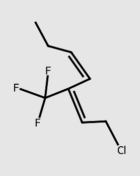 CC/C=C\C(=C/CCl)C(F)(F)F